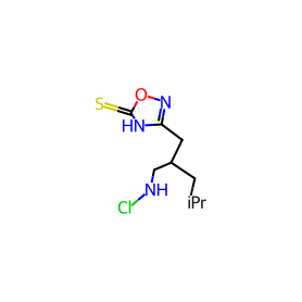 CC(C)CC(CNCl)Cc1noc(=S)[nH]1